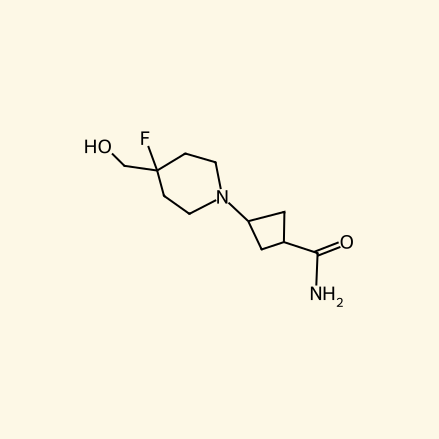 NC(=O)C1CC(N2CCC(F)(CO)CC2)C1